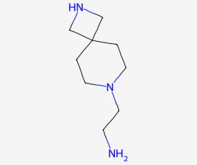 NCCN1CCC2(CC1)CNC2